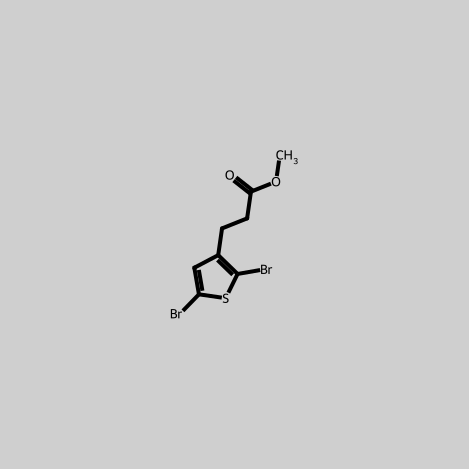 COC(=O)CCc1cc(Br)sc1Br